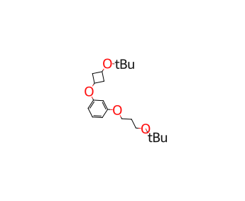 CC(C)(C)OCCCOc1cccc(OC2CC(OC(C)(C)C)C2)c1